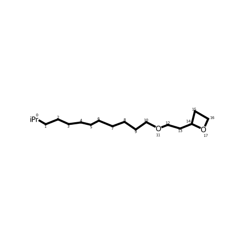 CC(C)CCCCCCCCCCOCC[C]1CCO1